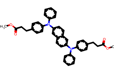 COC(=O)CCc1ccc(N(c2[c]c3ccc(N(c4ccccc4)c4ccc(CCC(=O)OC)cc4)cc3cc2)c2ccccc2)cc1